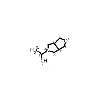 CC(C)N1CC2COCC2C1